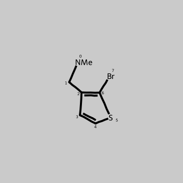 CNCc1ccsc1Br